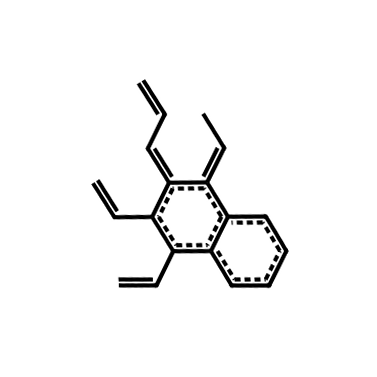 C=C/C=c1/c(C=C)c(C=C)c2ccccc2/c1=C/C